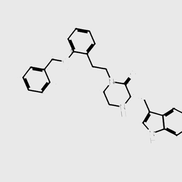 O=C1[C@H](Cc2c[nH]c3ccccc23)NCCN1CCc1ccccc1OCc1ccccc1